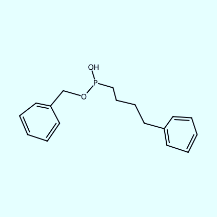 OP(CCCCc1ccccc1)OCc1ccccc1